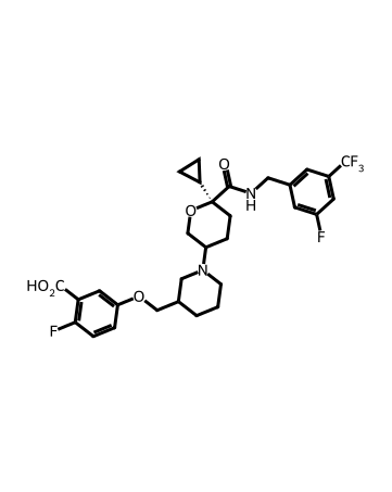 O=C(O)c1cc(OCC2CCCN(C3CC[C@@](C(=O)NCc4cc(F)cc(C(F)(F)F)c4)(C4CC4)OC3)C2)ccc1F